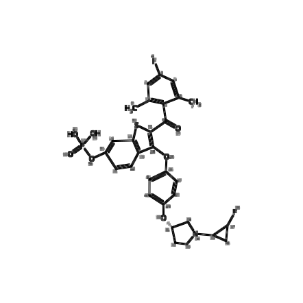 Cc1cc(F)cc(C)c1C(=O)c1sc2cc(OP(=O)(O)O)ccc2c1Oc1ccc(O[C@H]2CCN(C3CC3F)C2)cc1